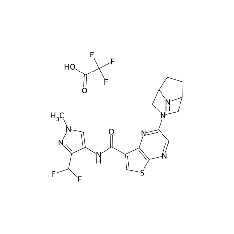 Cn1cc(NC(=O)c2csc3ncc(N4CC5CCC(C4)N5)nc23)c(C(F)F)n1.O=C(O)C(F)(F)F